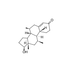 C[C@H]1C[C@]2(C)[C@@H](O)CC[C@H]2[C@H]2[C@H]1[C@H]1CCC(=O)C=C1C[C@@H]2C